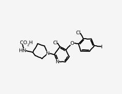 O=C(O)NC1CCN(c2nccc(Oc3ccc(I)cc3Cl)c2Cl)CC1